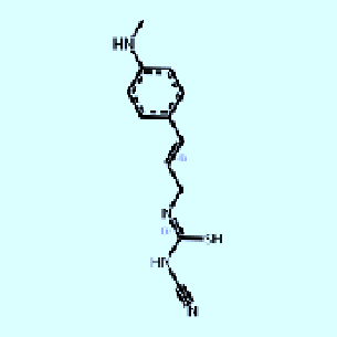 CNc1ccc(/C=C/C/N=C(\S)NC#N)cc1